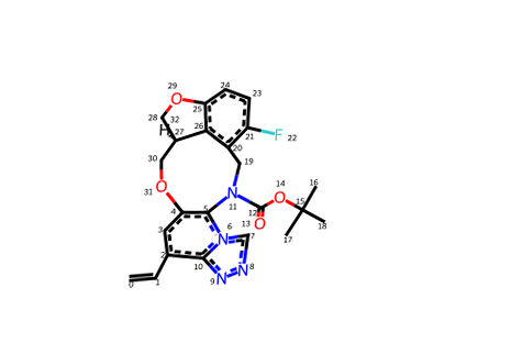 C=Cc1cc2c(n3cnnc13)N(C(=O)OC(C)(C)C)Cc1c(F)ccc3c1[C@H](CO3)CO2